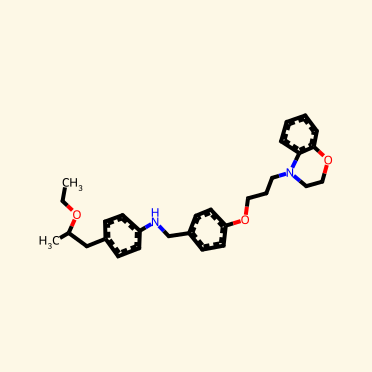 CCOC(C)Cc1ccc(NCc2ccc(OCCCN3CCOc4ccccc43)cc2)cc1